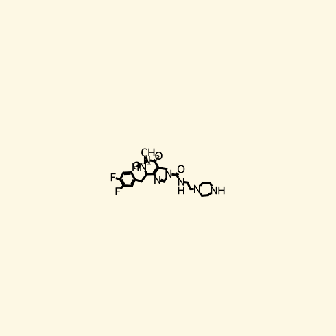 CN1C(=O)C2=C(N=CN(C(=O)NCCN3CCNCC3)C2)C(Cc2ccc(F)c(F)c2)[NH+]1[O-]